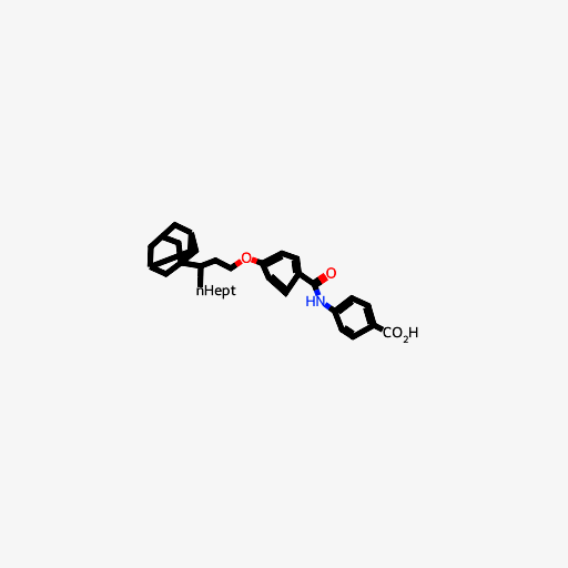 CCCCCCCC(CCOc1ccc(C(=O)Nc2ccc(C(=O)O)cc2)cc1)C12CC3CC(CC(C3)C1)C2